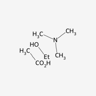 CC(=O)O.CCO.CN(C)C